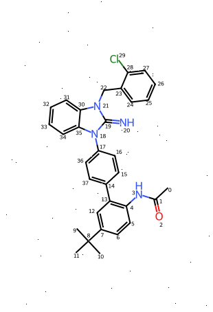 CC(=O)Nc1ccc(C(C)(C)C)cc1-c1ccc(-n2c(=N)n(Cc3ccccc3Cl)c3ccccc32)cc1